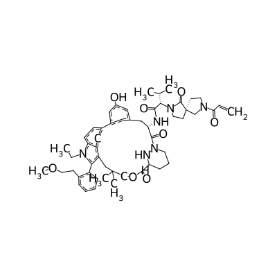 C=CC(=O)N1CC[C@@]2(CCN([C@H](C(=O)N[C@H]3Cc4cc(O)cc(c4)-c4ccc5c(c4)c(c(-c4ccccc4CCOC)n5CC)CC(C)(C)COC(=O)[C@@H]4CCCN(N4)C3=O)C(C)C)C2=O)C1